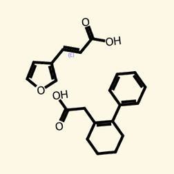 O=C(O)/C=C/c1ccoc1.O=C(O)CC1=C(c2ccccc2)CCCC1